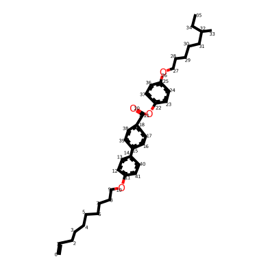 C=CCCCCCCCCOc1ccc(-c2ccc(C(=O)Oc3ccc(OCCCCCC(C)CC)cc3)cc2)cc1